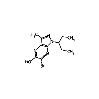 CCC(CC)n1nc(C)c2nc(O)c(Br)nc21